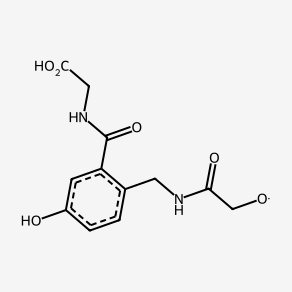 [O]CC(=O)NCc1ccc(O)cc1C(=O)NCC(=O)O